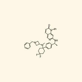 CC(C)n1c(=O)ccc2cnc(N[C@@H](C)c3ccc(C4(N(C)C5CN(Cc6ccccc6)C5)CCC(F)(F)CC4)cc3)cc21